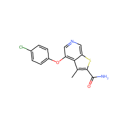 Cc1c(C(N)=O)sc2cncc(Oc3ccc(Cl)cc3)c12